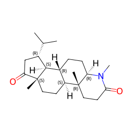 CC(C)[C@H]1CC(=O)[C@@]2(C)CC[C@H]3[C@@H](CC[C@H]4N(C)C(=O)CC[C@]34C)[C@H]12